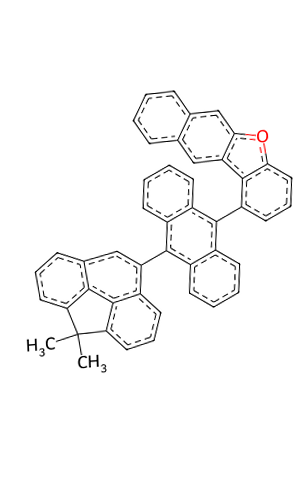 CC1(C)c2cccc3cc(-c4c5ccccc5c(-c5cccc6oc7cc8ccccc8cc7c56)c5ccccc45)c4cccc1c4c23